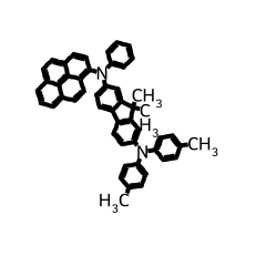 Cc1ccc(N(c2ccc(C)cc2)c2ccc3c(c2)C(C)(C)c2cc(N(c4ccccc4)c4ccc5ccc6cccc7ccc4c5c67)ccc2-3)cc1